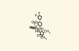 Cc1cn(C)c(=O)c(NC(=O)N[C@@H](CC(=O)[O-])c2cccc(-c3ccc(F)c(F)c3)c2)c1[O-].[Na+].[Na+]